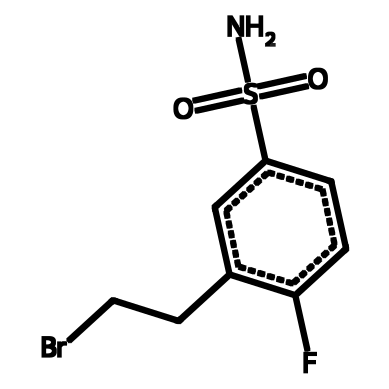 NS(=O)(=O)c1ccc(F)c(CCBr)c1